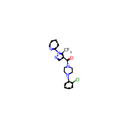 O=C(c1cnn(-c2ccccn2)c1C(F)(F)F)N1CCN(c2ccccc2Cl)CC1